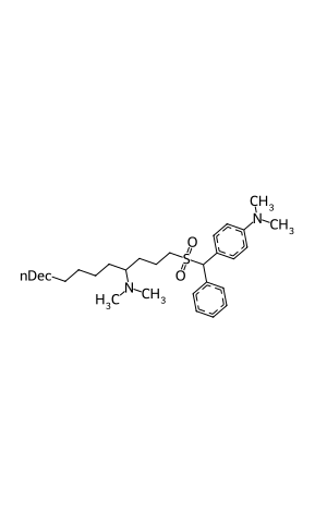 CCCCCCCCCCCCCCC(CCCS(=O)(=O)C(c1ccccc1)c1ccc(N(C)C)cc1)N(C)C